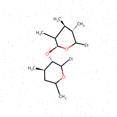 CCC1O[C@@H](O[C@@H]2C(CC)OC(C)C[C@H]2C)C(C)[C@@H](C)[C@@H]1C